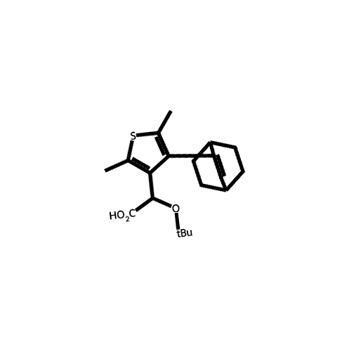 Cc1sc(C)c(C(OC(C)(C)C)C(=O)O)c1C1=CC2CCC1CC2